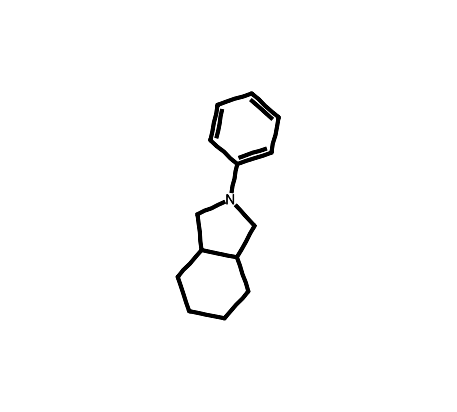 c1ccc(N2CC3CCCCC3C2)cc1